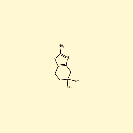 CC(C)C1(C(C)(C)C)CCc2sc(N)nc2C1